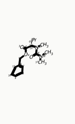 CC(C)[C@@H](C(=O)OCc1ccccc1)N(C)C(=O)N(C)C